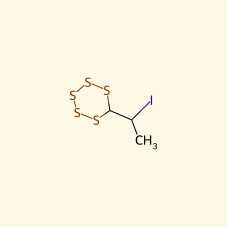 CC(I)C1SSSSS1